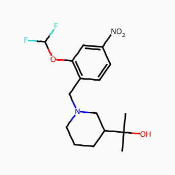 CC(C)(O)C1CCCN(Cc2ccc([N+](=O)[O-])cc2OC(F)F)C1